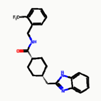 O=C(NCc1ccccc1C(F)(F)F)[C@H]1CC[C@@H](Cc2nc3ccccc3[nH]2)CC1